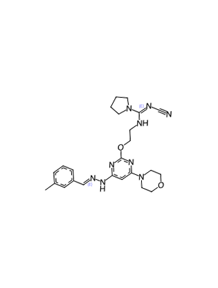 Cc1cccc(/C=N/Nc2cc(N3CCOCC3)nc(OCCN/C(=N\C#N)N3CCCC3)n2)c1